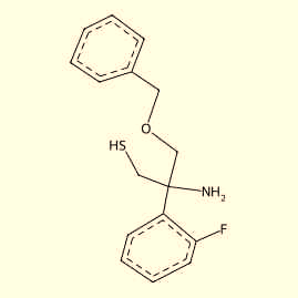 NC(CS)(COCc1ccccc1)c1ccccc1F